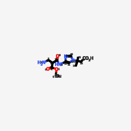 CC(C)(C)OC(=O)C(CN)C(=O)Nc1cn(C(C)(C)CC(=O)O)cn1